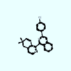 CC1(C)C=Cc2c(ccnc2-c2nc(-c3ccc(Cl)cc3)cc3ccccc23)C1